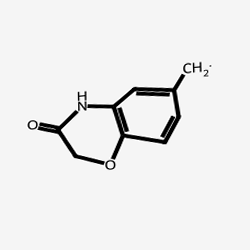 [CH2]c1ccc2c(c1)NC(=O)CO2